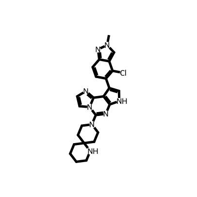 Cn1cc2c(Cl)c(-c3c[nH]c4nc(N5CCC6(CCCCN6)CC5)n5ccnc5c34)ccc2n1